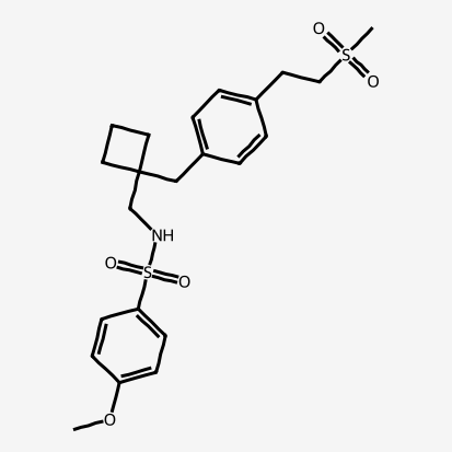 COc1ccc(S(=O)(=O)NCC2(Cc3ccc(CCS(C)(=O)=O)cc3)CCC2)cc1